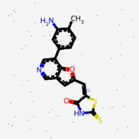 Cc1ccc(-c2cncc3cc(/C=C4/SC(=S)NC4=O)oc23)cc1N